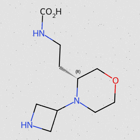 O=C(O)NCC[C@@H]1COCCN1C1CNC1